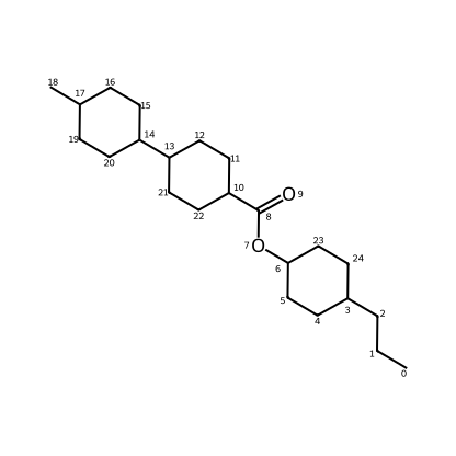 CCCC1CCC(OC(=O)C2CCC(C3CCC(C)CC3)CC2)CC1